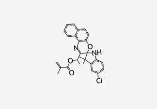 C=C(C)C(=O)OC(C)C1=Nc2c(ccc3ccccc23)OC12Nc1ccc(Cl)cc1C2(C)C